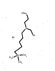 CCCCCCCCCCCCN(CCCCC[N+](C)(C)C)CC(C)C.[Br-]